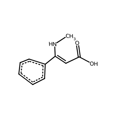 CNC(=CC(=O)O)c1ccccc1